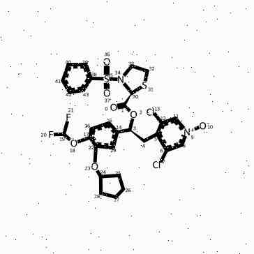 O=C(O[C@@H](Cc1c(Cl)c[n+]([O-])cc1Cl)c1ccc(OC(F)F)c(OC2CCCC2)c1)[C@@H]1SCCN1S(=O)(=O)c1ccccc1